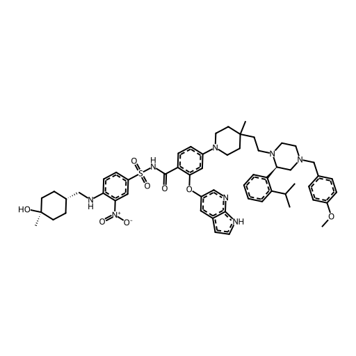 COc1ccc(CN2CCN(CCC3(C)CCN(c4ccc(C(=O)NS(=O)(=O)c5ccc(NC[C@H]6CC[C@](C)(O)CC6)c([N+](=O)[O-])c5)c(Oc5cnc6[nH]ccc6c5)c4)CC3)[C@H](c3ccccc3C(C)C)C2)cc1